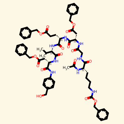 CC(=O)N[C@@H](CCCCNC(=O)OCc1ccccc1)C(=O)NCC(=O)N[C@@H](CC(=O)OCc1ccccc1)C(=O)N[C@@H](CCC(=O)OCc1ccccc1)C(=O)N[C@H](C(=O)N[C@@H](CC(=O)OCc1ccccc1)C(=O)Nc1ccc(CO)cc1)C(C)C